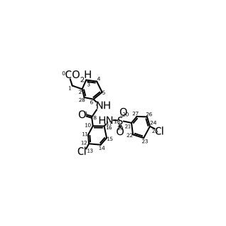 O=C(O)Cc1cccc(NC(=O)c2cc(Cl)ccc2NS(=O)(=O)c2ccc(Cl)cc2)c1